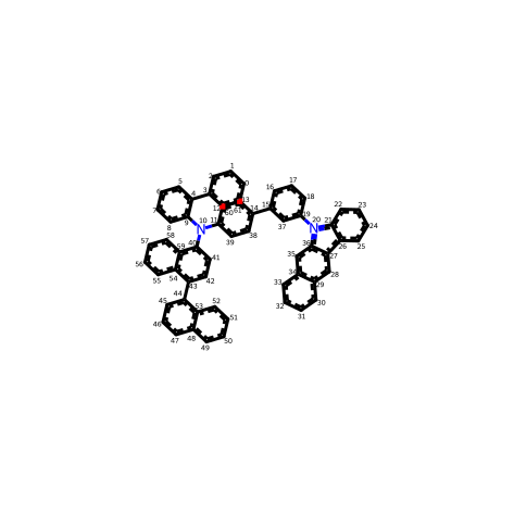 c1ccc(-c2ccccc2N(c2ccc(-c3cccc(-n4c5ccccc5c5cc6ccccc6cc54)c3)cc2)c2ccc(-c3cccc4ccccc34)c3ccccc23)cc1